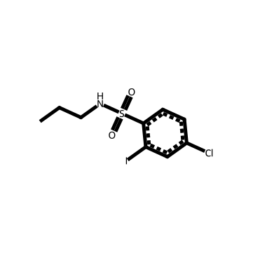 CCCNS(=O)(=O)c1ccc(Cl)cc1I